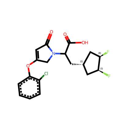 O=C(O)C(C[C@@H]1C[C@@H](F)[C@@H](F)C1)N1CC(Oc2ccccc2Cl)=CC1=O